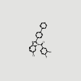 O=C(c1ccc(F)c(F)c1)n1c(-c2ccc(-c3ccccc3)cc2)nc2ccc(Cl)cc21